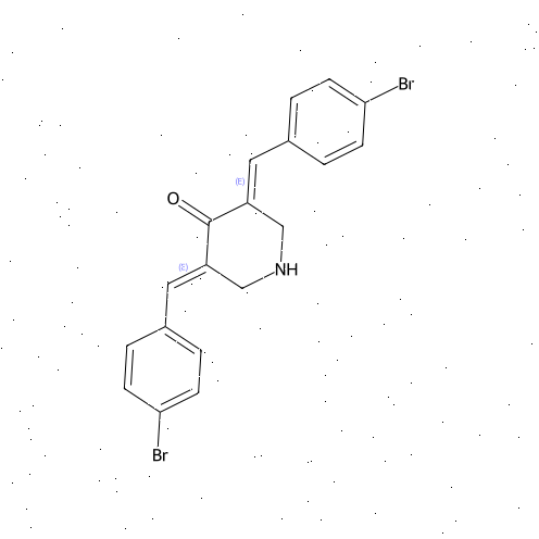 O=C1/C(=C/c2ccc(Br)cc2)CNC/C1=C\c1ccc(Br)cc1